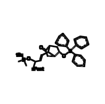 CCCCCC(C=CC1C2CC(O[Si](c3ccccc3)(c3ccccc3)c3ccccc3)C1CC2=O)O[Si](C)(C)C(C)(C)C